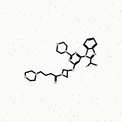 O=C(CCCN1CCOCC1)N1CC(Oc2cc(-n3c(C(F)F)nc4ccccc43)nc(N3CCOCC3)n2)C1